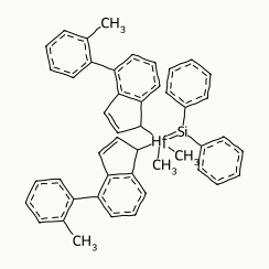 Cc1ccccc1-c1cccc2c1C=C[CH]2[Hf]([CH3])([CH3])([CH]1C=Cc2c(-c3ccccc3C)cccc21)=[Si](c1ccccc1)c1ccccc1